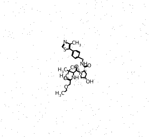 CCOCC(=O)NC(C(=O)N1C[C@H](O)C[C@H]1C(=O)NCc1ccc(-c2scnc2C)cc1)C(C)(C)C